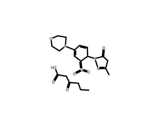 CC1=NN(C2C=CC(N3CCOCC3)=CC2=S(=O)=O)C(=O)C1.CCCC(=O)CC(=O)O